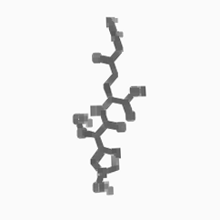 CO[C@@H](C(=O)N[C@@H](CCC(=O)C=[N+]=[N-])C(=O)O)c1cn(C)cn1